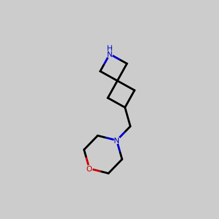 C1CN(CC2CC3(CNC3)C2)CCO1